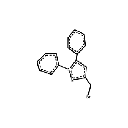 BrCc1cc(-c2ccccc2)n(-c2ccccc2)n1